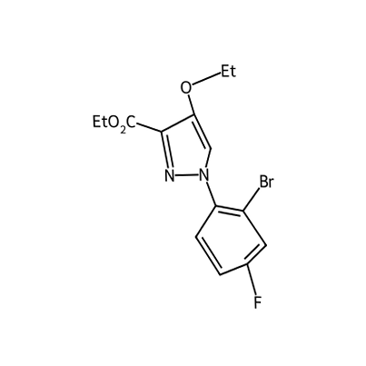 CCOC(=O)c1nn(-c2ccc(F)cc2Br)cc1OCC